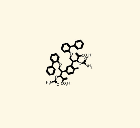 C=C(C(=O)O)C(OC(N)=O)C(COc1ccccc1-c1ccccc1)c1ccc(C)c(C(COc2ccccc2-c2ccccc2)C(OC(N)=O)C(=C)C(=O)O)c1